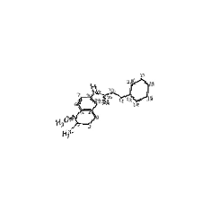 CC1CCc2c(ccc3[nH]c(CCC4CCCCC4)nc23)N1C